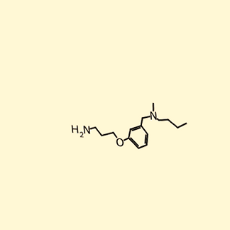 CCCCN(C)Cc1cccc(OCCCN)c1